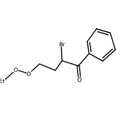 CCOOCCC(Br)C(=O)c1ccccc1